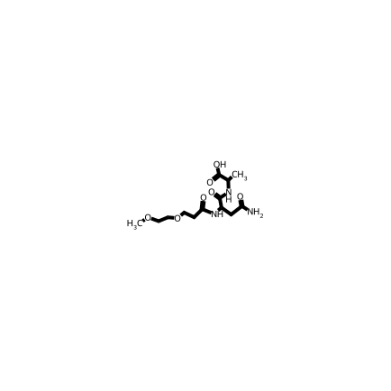 COCCOCCC(=O)NC(CC(N)=O)C(=O)NC(C)C(=O)O